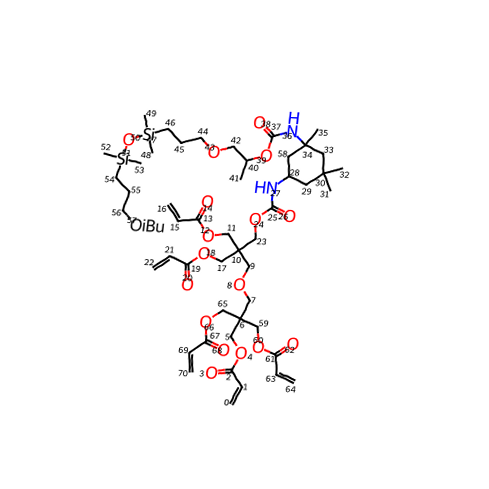 C=CC(=O)OCC(COCC(COC(=O)C=C)(COC(=O)C=C)COC(=O)NC1CC(C)(C)CC(C)(NC(=O)OC(C)COCCC[Si](C)(C)O[Si](C)(C)CCCOCC(C)C)C1)(COC(=O)C=C)COC(=O)C=C